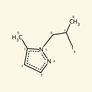 Cc1ccnn1CC(C)I